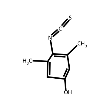 Cc1cc(O)cc(C)c1N=C=S